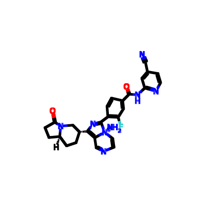 N#Cc1ccnc(NC(=O)c2ccc(C3=NC([C@@H]4CC[C@H]5CCC(=O)N5C4)=C4C=NC=C[N+]34N)c(F)c2)c1